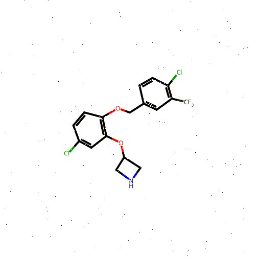 FC(F)(F)c1cc(COc2ccc(Cl)cc2OC2CNC2)ccc1Cl